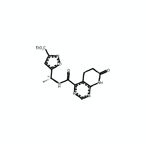 CCOC(=O)c1cc([C@@H](C)NC(=O)c2ncnc3c2CCC(=O)N3)on1